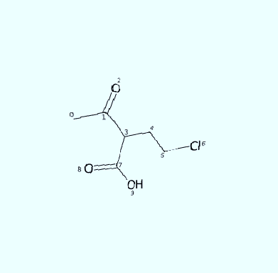 CC(=O)C(CCCl)C(=O)O